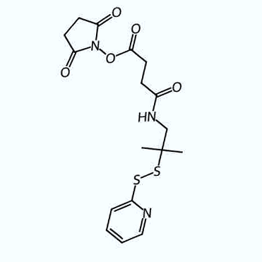 CC(C)(CNC(=O)CCC(=O)ON1C(=O)CCC1=O)SSc1ccccn1